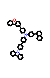 C1=CC2Oc3ccc(-c4ccc(N(c5ccc(-c6ccc(-n7c8ccccc8c8ccccc87)cc6)cc5)c5ccc(-c6cccc7ccccc67)cc5)cc4)cc3C2C=C1